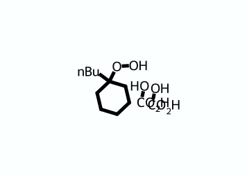 CCCCC1(OO)CCCCC1.O=C(O)O.O=C(O)O